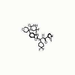 Cn1nccc1C(=O)N[C@H](c1nc2cc(C3(N4CC(F)(F)CNC4=O)CCOCC3)ccc2o1)C1CCC(F)(F)CC1